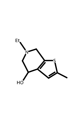 CCN1Cc2sc(C)cc2C(O)C1